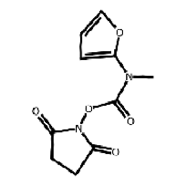 CN(C(=O)ON1C(=O)CCC1=O)c1ccco1